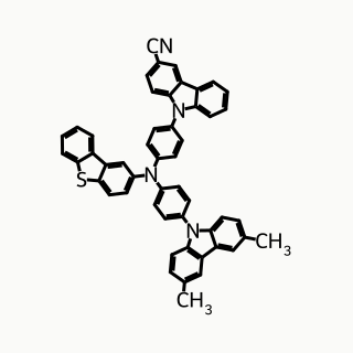 Cc1ccc2c(c1)c1cc(C)ccc1n2-c1ccc(N(c2ccc(-n3c4ccccc4c4cc(C#N)ccc43)cc2)c2ccc3sc4ccccc4c3c2)cc1